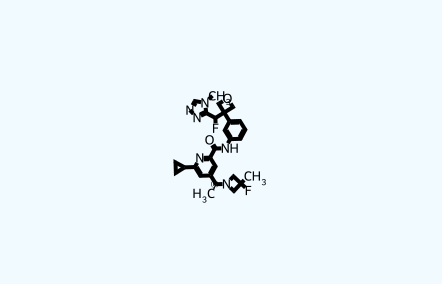 C[C@H](c1cc(C(=O)Nc2cccc(C3(C(F)c4nncn4C)COC3)c2)nc(C2CC2)c1)N1CC(C)(F)C1